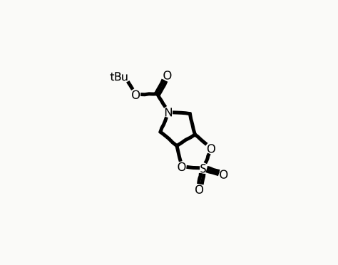 CC(C)(C)OC(=O)N1CC2OS(=O)(=O)OC2C1